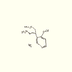 CCOc1ccccc1C(CN)CC(=O)O.Cl